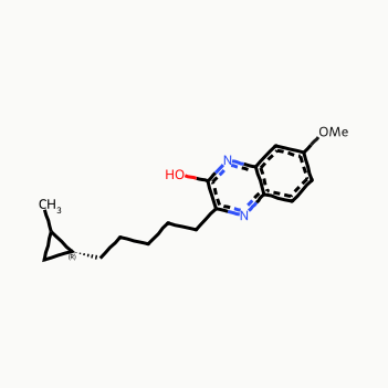 COc1ccc2nc(CCCCC[C@@H]3CC3C)c(O)nc2c1